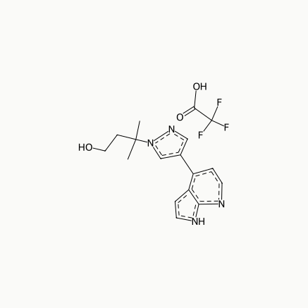 CC(C)(CCO)n1cc(-c2ccnc3[nH]ccc23)cn1.O=C(O)C(F)(F)F